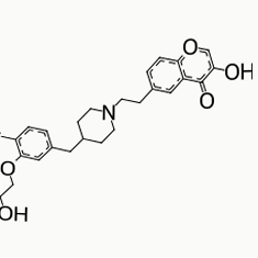 O=c1c(O)coc2ccc(CCN3CCC(Cc4ccc(Br)c(OCCO)c4)CC3)cc12